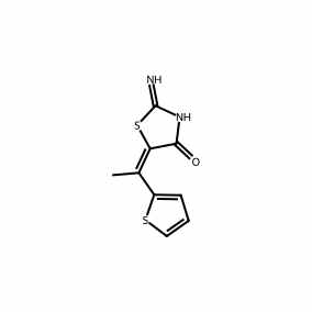 C/C(=C1\SC(=N)NC1=O)c1cccs1